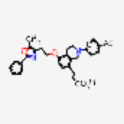 CC(=O)c1ccc(N2CCc3c(OCCc4nc(-c5ccccc5)oc4C)ccc(CCC(=O)O)c3C2)cc1